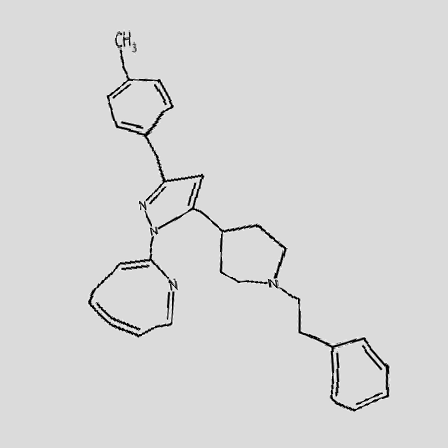 Cc1ccc(-c2cc(C3CCN(CCc4ccccc4)CC3)n(-c3ccccn3)n2)cc1